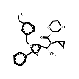 COc1cccc(Cn2cc([C@@H](C)N(C(=O)[C@H]3CNCCO3)C3CC3)nc2-c2ccccc2)c1